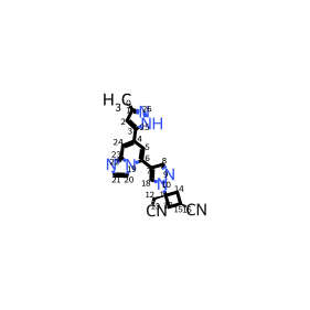 Cc1cc(-c2cc(-c3cnn([C@]4(CC#N)C[C@@H](C#N)C4)c3)n3ccnc3c2)[nH]n1